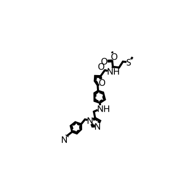 COC(=O)C(CCSC)NC(=O)c1ccc(-c2ccc(NCc3cncn3Cc3ccc(C#N)cc3)cc2)o1